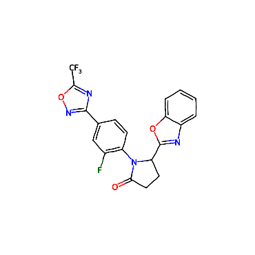 O=C1CCC(c2nc3ccccc3o2)N1c1ccc(-c2noc(C(F)(F)F)n2)cc1F